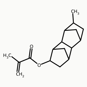 C=C(C)C(=O)OC1CC2CC1C1C3CC(CC3C)C21